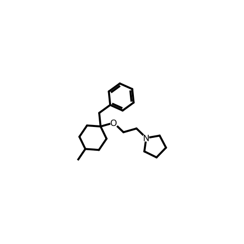 CC1CCC(Cc2ccccc2)(OCCN2CCCC2)CC1